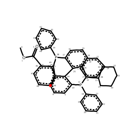 COC(=O)COc1cccc(P(c2ccccc2)c2ccccc2)c1-c1c(OC2CCCCC2)cccc1P(c1ccccc1)c1ccccc1